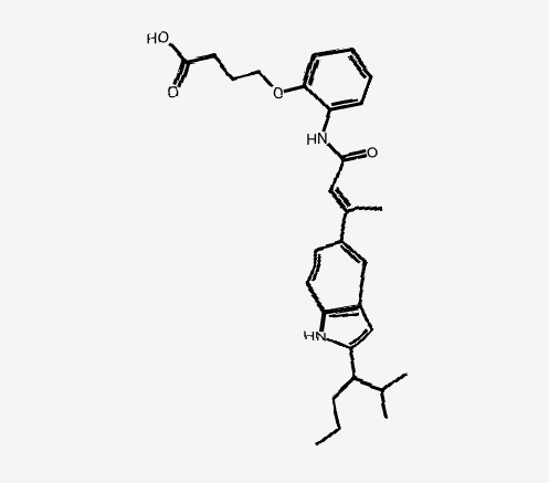 CCCC(c1cc2cc(C(C)=CC(=O)Nc3ccccc3OCCCC(=O)O)ccc2[nH]1)C(C)C